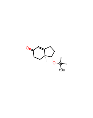 CC(C)(C)[Si](C)(C)O[C@H]1CCC2=CC(=O)CC[C@@]21C